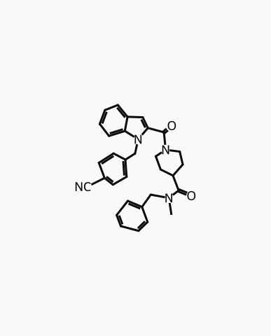 CN(Cc1ccccc1)C(=O)C1CCN(C(=O)c2cc3ccccc3n2Cc2ccc(C#N)cc2)CC1